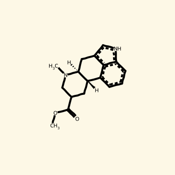 COC(=O)C1C[C@H]2c3cccc4[nH]cc(c34)C[C@@H]2N(C)C1